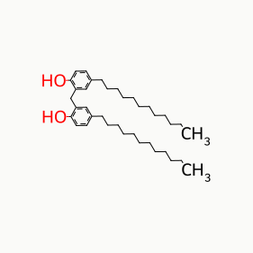 CCCCCCCCCCCCc1ccc(O)c(Cc2cc(CCCCCCCCCCCC)ccc2O)c1